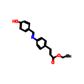 CCC(C)COC(=O)C=Cc1ccc(N=Cc2ccc(O)cc2)cc1